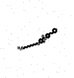 CCCCCCCCCCCOc1ccc(C(=O)Oc2ccc(CCC3CC[CH]CC3)cc2)c(F)c1